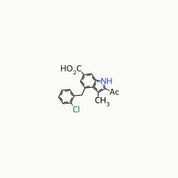 CC(=O)c1[nH]c2cc(C(=O)O)cc(Cc3ccccc3Cl)c2c1C